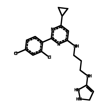 Clc1ccc(-c2nc(NCCCNC3=CCNN3)cc(C3CC3)n2)c(Cl)c1